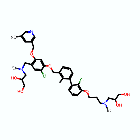 CCN(CCCOc1cccc(-c2cccc(COc3cc(OCc4cncc(C#N)c4)c(CN(CC)CC(O)CO)cc3Cl)c2C)c1Cl)CC(O)CO